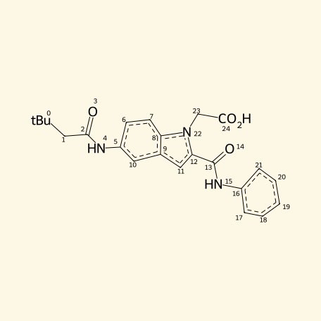 CC(C)(C)CC(=O)Nc1ccc2c(c1)cc(C(=O)Nc1ccccc1)n2CC(=O)O